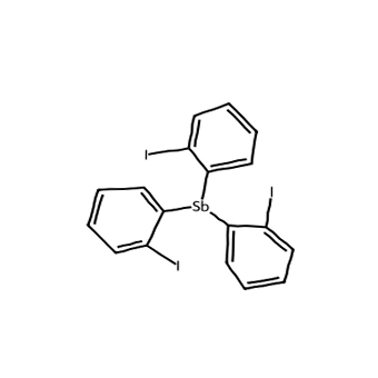 Ic1cccc[c]1[Sb]([c]1ccccc1I)[c]1ccccc1I